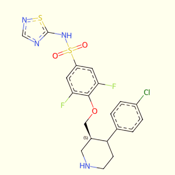 O=S(=O)(Nc1ncns1)c1cc(F)c(OC[C@@H]2CNCCC2c2ccc(Cl)cc2)c(F)c1